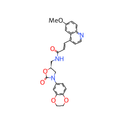 COc1ccc2nccc(/C=C/C(=O)NC[C@H]3CN(c4ccc5c(c4)OCCO5)C(=O)O3)c2c1